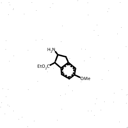 CCOC(=O)C1c2ccc(OC)cc2CC1N